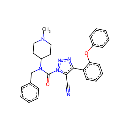 CN1CCC(N(Cc2ccccc2)C(=O)n2nnc(-c3ccccc3Oc3ccccc3)c2C#N)CC1